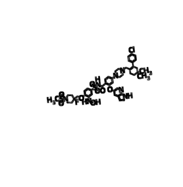 CC1(C)CCC(CN2CCN(c3ccc(C(=O)NS(=O)(=O)c4ccc(OCC5(F)CCN(S(C)(=O)=O)CC5)c(NO)c4)c(Oc4cnc5[nH]ccc5c4)c3)CC2)=C(c2ccc(Cl)cc2)C1